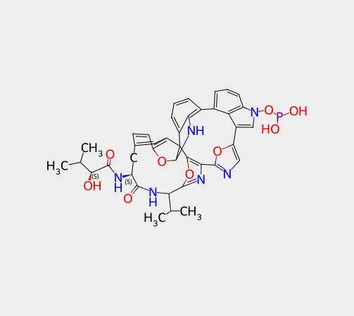 CC(C)C1NC(=O)[C@@H](NC(=O)[C@@H](O)C(C)C)Cc2ccc3c(c2)C24c5cccc(c5NC2O3)-c2cccc3c2c(cn3OP(O)O)-c2cnc(o2)-c2nc1oc24